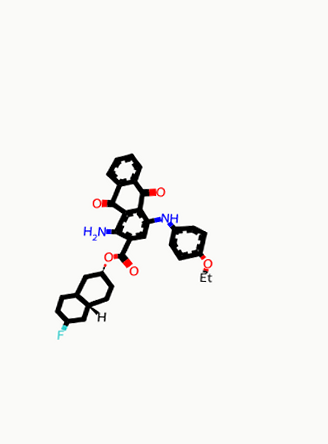 CCOc1ccc(Nc2cc(C(=O)O[C@@H]3CC[C@@H]4CC(F)CCC4C3)c(N)c3c2C(=O)c2ccccc2C3=O)cc1